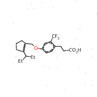 CCC(CC)C1=C(COc2ccc(CCC(=O)O)c(C(F)(F)F)c2)CCC1